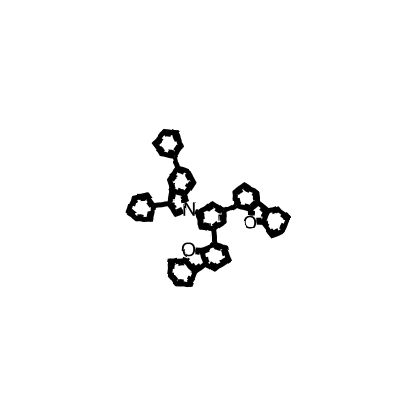 c1ccc(-c2ccc3c(c2)c(-c2ccccc2)cn3-c2cc(-c3cccc4c3oc3ccccc34)cc(-c3cccc4c3oc3ccccc34)c2)cc1